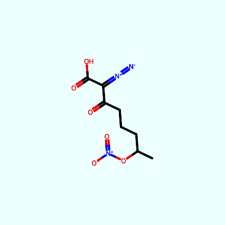 CC(CCCC(=O)C(=[N+]=[N-])C(=O)O)O[N+](=O)[O-]